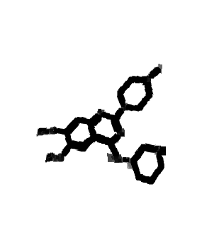 COc1cc2nc(N3CCN(I)CC3)nc(N[C@H]3CCCNC3)c2cc1OC